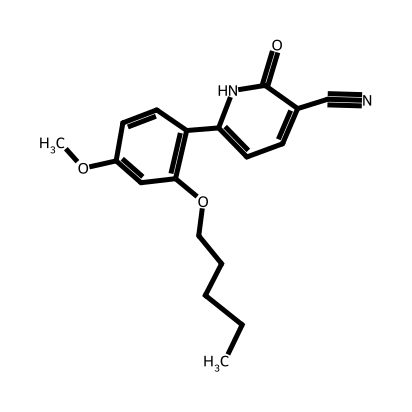 CCCCCOc1cc(OC)ccc1-c1ccc(C#N)c(=O)[nH]1